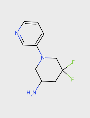 NC1CN(c2cccnc2)CC(F)(F)C1